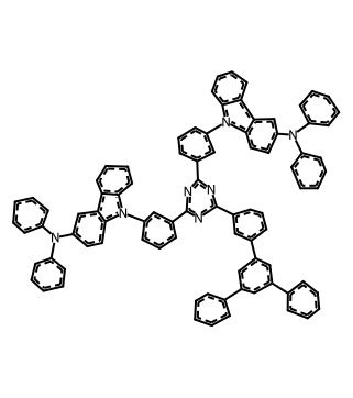 c1ccc(-c2cc(-c3ccccc3)cc(-c3cccc(-c4nc(-c5cccc(-n6c7ccccc7c7cc(N(c8ccccc8)c8ccccc8)ccc76)c5)nc(-c5cccc(-n6c7ccccc7c7cc(N(c8ccccc8)c8ccccc8)ccc76)c5)n4)c3)c2)cc1